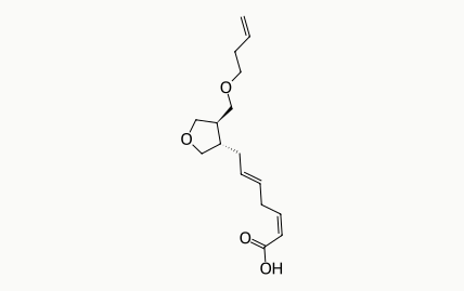 C=CCCOC[C@@H]1COC[C@H]1CC=CC/C=C\C(=O)O